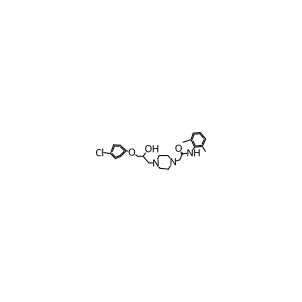 Cc1cccc(C)c1NC(=O)CN1CCN(CC(O)COc2ccc(Cl)cc2)CC1